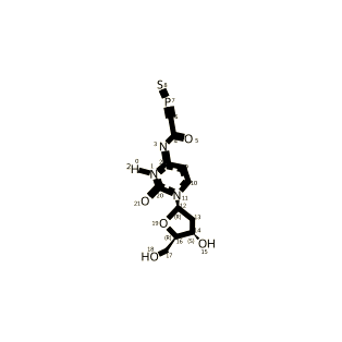 [2H]n1c(=NC(=O)C#P=S)ccn([C@H]2C[C@H](O)[C@@H](CO)O2)c1=O